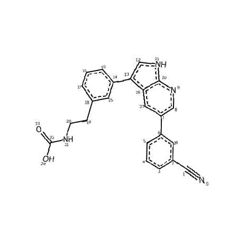 N#Cc1cccc(-c2cnc3[nH]cc(-c4cccc(CCNC(=O)O)c4)c3c2)c1